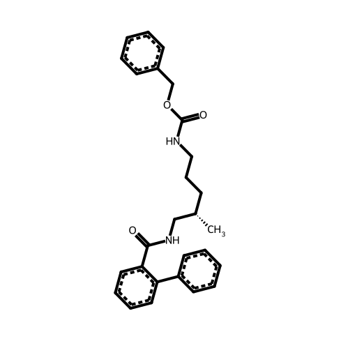 C[C@@H](CCCNC(=O)OCc1ccccc1)CNC(=O)c1ccccc1-c1ccccc1